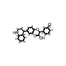 O=C(O)C(Oc1ccc(C2CCNc3ccccc32)cc1)c1cccc(Cl)c1